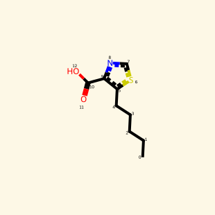 CCCCCc1scnc1C(=O)O